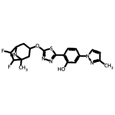 Cc1ccn(-c2ccc(-c3nnc(OC4CC5NC(C)(C4)C(F)C5F)s3)c(O)c2)n1